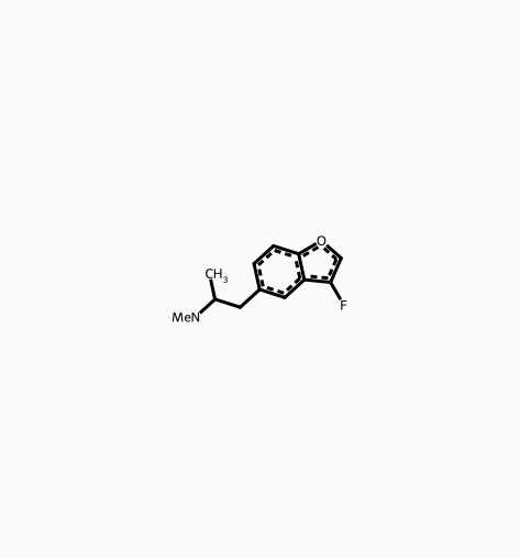 CNC(C)Cc1ccc2occ(F)c2c1